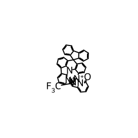 FC(F)(F)c1cc2n(n1)[N+]13c4c(ccc5c4-n4c6c(cccc6c6ccc[n+]1c64)C51c4ccccc4-c4ccccc41)Oc1cccc-2[n+]13